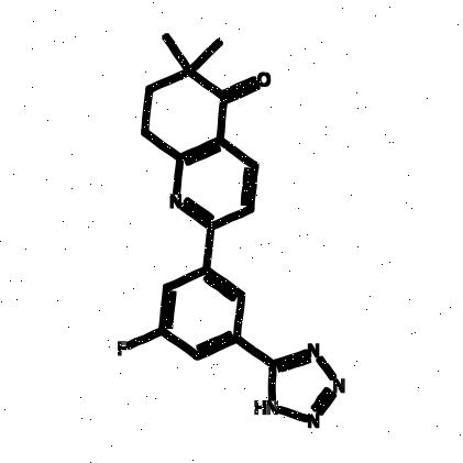 CC1(C)CCc2nc(-c3cc(F)cc(-c4nnn[nH]4)c3)ccc2C1=O